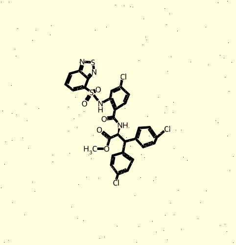 COC(=O)[C@@H](NC(=O)c1ccc(Cl)cc1NS(=O)(=O)c1cccc2nsnc12)C(c1ccc(Cl)cc1)c1ccc(Cl)cc1